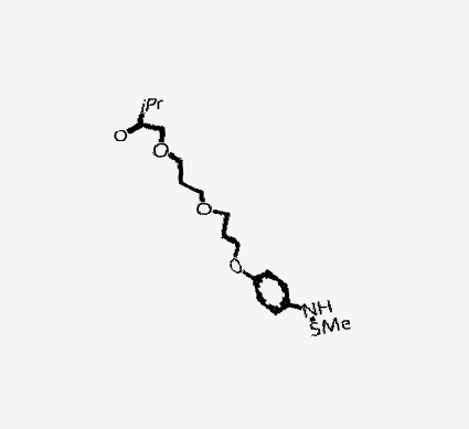 CSNc1ccc(OCCCOCCCOCC(=O)C(C)C)cc1